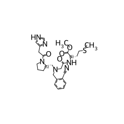 COC(=O)[C@H](CCSC)NC(=O)CN(Cc1ccccc1C#N)C[C@@H]1CCCN1C(=O)Cc1c[nH]cn1